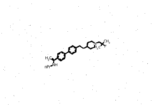 C=C(NCCC)c1ccc(-c2ccc(CCC3CCN(CC(C)(C)F)CC3)cc2)cc1